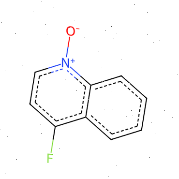 [O-][n+]1ccc(F)c2ccccc21